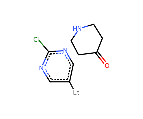 CCc1cnc(Cl)nc1.O=C1CCNCC1